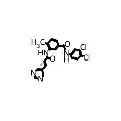 Cc1ccc(C(=O)Nc2ccc(Cl)c(Cl)c2)cc1NC(=O)/C=C/c1cncnc1